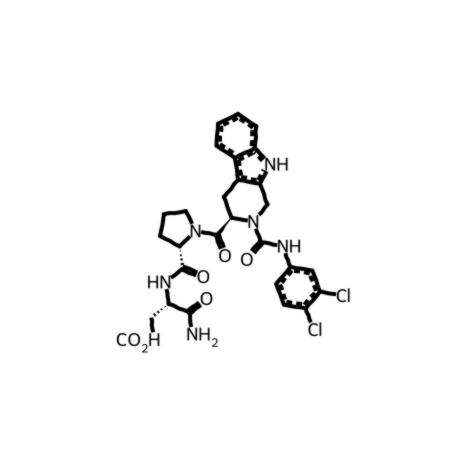 NC(=O)[C@H](CC(=O)O)NC(=O)[C@@H]1CCCN1C(=O)[C@H]1Cc2c([nH]c3ccccc23)CN1C(=O)Nc1ccc(Cl)c(Cl)c1